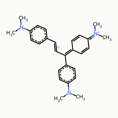 CN(C)c1ccc(/C=C/C(=C2C=CC(=[N+](C)C)C=C2)c2ccc(N(C)C)cc2)cc1